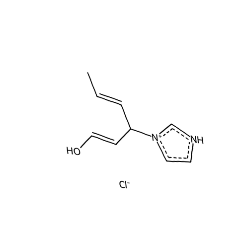 CC=CC(C=CO)[n+]1cc[nH]c1.[Cl-]